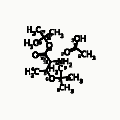 CC(=O)O.CC(OC(C)(C)C)[C@H](N)C(=O)OC(C)(C)C